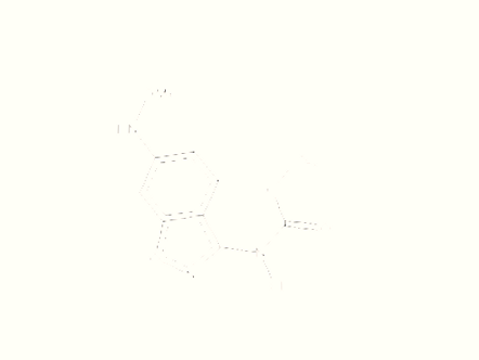 CONc1ccc2c(N(C)C(=O)OC(C)(C)C)noc2c1